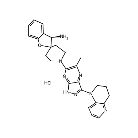 Cc1nc2c(N3CCCc4ncccc43)n[nH]c2nc1N1CCC2(CC1)Oc1ccccc1[C@H]2N.Cl